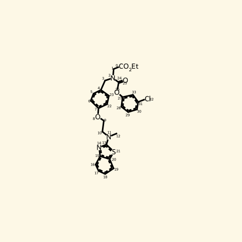 CCOC(=O)CN(Cc1ccc(OCCN(C)c2nc3ccccc3s2)cc1)C(=O)Oc1cccc(Cl)c1